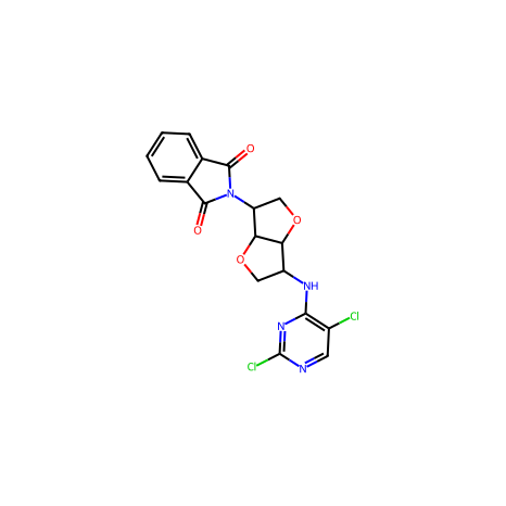 O=C1c2ccccc2C(=O)N1C1COC2C(Nc3nc(Cl)ncc3Cl)COC21